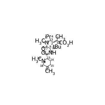 C/C(=C\[C@H](C(C)C)N(C)C(=O)[C@@H](NC(=O)[C@@H]1CC[C@H](C)CN1C)C(C)(C)C)C(=O)O